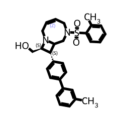 Cc1cccc(-c2ccc([C@H]3C4CN(S(=O)(=O)c5ccccc5C)C/C=C\CN4[C@@H]3CO)cc2)c1